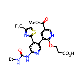 CCNC(=O)Nc1cc(-c2nc(C(F)(F)F)cs2)c(-c2cc(C(=O)OC)cnc2OCCC(=O)O)cn1